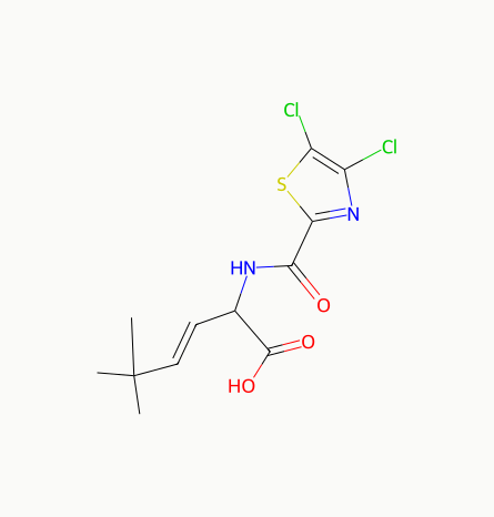 CC(C)(C)C=CC(NC(=O)c1nc(Cl)c(Cl)s1)C(=O)O